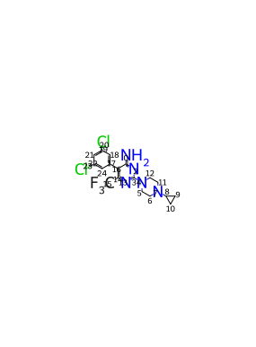 Nc1nc(N2CCN(C3CC3)CC2)nc(C(F)(F)F)c1-c1cc(Cl)cc(Cl)c1